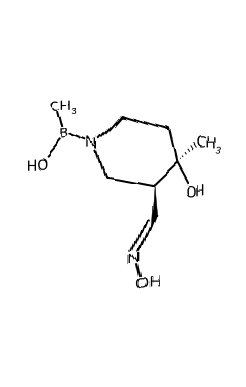 CB(O)N1CC[C@@](C)(O)[C@@H](/C=N/O)C1